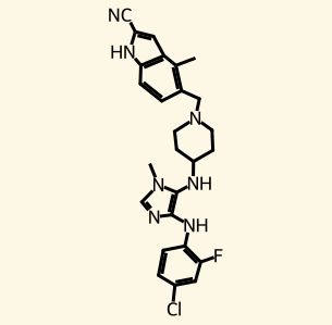 Cc1c(CN2CCC(Nc3c(Nc4ccc(Cl)cc4F)ncn3C)CC2)ccc2[nH]c(C#N)cc12